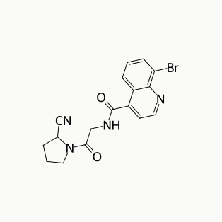 N#CC1CCCN1C(=O)CNC(=O)c1ccnc2c(Br)cccc12